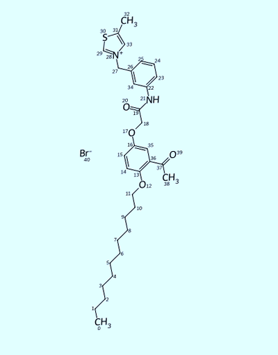 CCCCCCCCCCCCOc1ccc(OCC(=O)Nc2cccc(C[n+]3csc(C)c3)c2)cc1C(C)=O.[Br-]